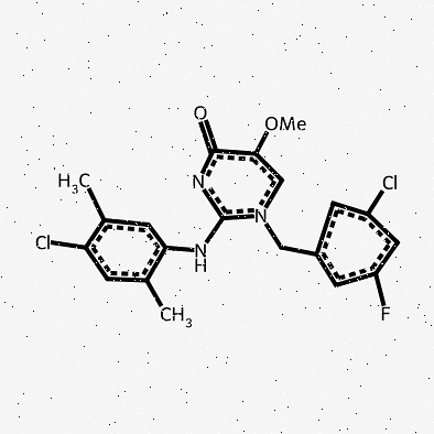 COc1cn(Cc2cc(F)cc(Cl)c2)c(Nc2cc(C)c(Cl)cc2C)nc1=O